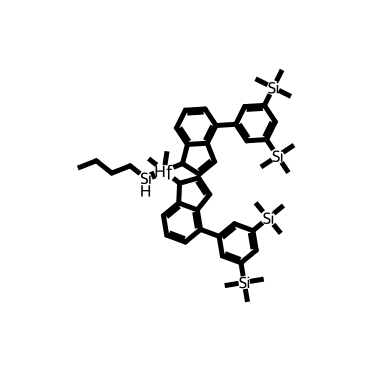 CCCC[SiH]=[Hf]([CH3])([CH3])([CH]1C=Cc2c(-c3cc([Si](C)(C)C)cc([Si](C)(C)C)c3)cccc21)[CH]1C=Cc2c(-c3cc([Si](C)(C)C)cc([Si](C)(C)C)c3)cccc21